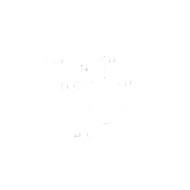 C=C(C)C(C)(N=C=O)c1cccc(C)c1